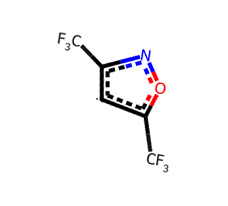 FC(F)(F)c1[c]c(C(F)(F)F)on1